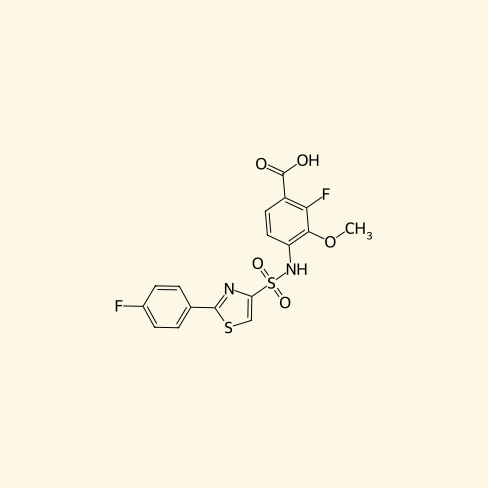 COc1c(NS(=O)(=O)c2csc(-c3ccc(F)cc3)n2)ccc(C(=O)O)c1F